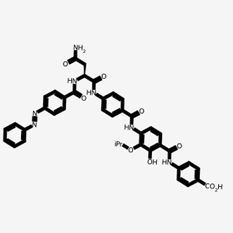 CC(C)Oc1c(NC(=O)c2ccc(NC(=O)[C@H](CC(N)=O)NC(=O)c3ccc(/N=N/c4ccccc4)cc3)cc2)ccc(C(=O)Nc2ccc(C(=O)O)cc2)c1O